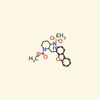 COC(=O)N1CCCC(NS(C)(=O)=O)C1Cc1cccc2c1oc1ccccc12